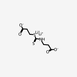 O=C([O-])CCNC(=S)SCCC(=O)[O-].[Li+].[Li+]